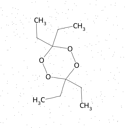 CCC1(CC)OOC(CC)(CC)OO1